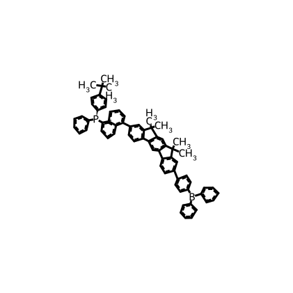 CC(C)(C)c1ccc([P@](c2ccccc2)c2cccc3c(-c4ccc5c(c4)C(C)(C)c4cc6c(cc4-5)-c4ccc(-c5ccc(B(c7ccccc7)c7ccccc7)cc5)cc4C6(C)C)cccc23)cc1